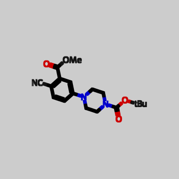 COC(=O)c1cc(N2CCN(C(=O)OC(C)(C)C)CC2)ccc1C#N